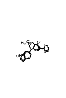 CN1Cc2c(ccc(-c3ncccn3)c2F)C(c2ccc3cc[nH]c3c2)C1